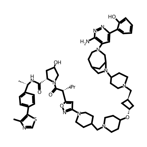 Cc1ncsc1-c1ccc([C@H](C)NC(=O)[C@@H]2C[C@@H](O)CN2C(=O)[C@@H](c2cc(N3CCC(CN4CCC(O[C@H]5C[C@H](CN6CCC(N7CC8CCN(c9cc(-c%10ccccc%10O)nnc9N)CC7C8)CC6)C5)CC4)CC3)no2)C(C)C)cc1